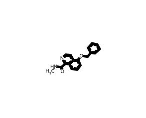 CNC(=O)c1nccc2c(OCc3ccccc3)cccc12